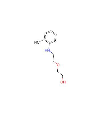 N#Cc1ccccc1NCCOCCO